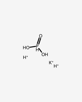 O=[PH](O)O.[H+].[H+].[K+]